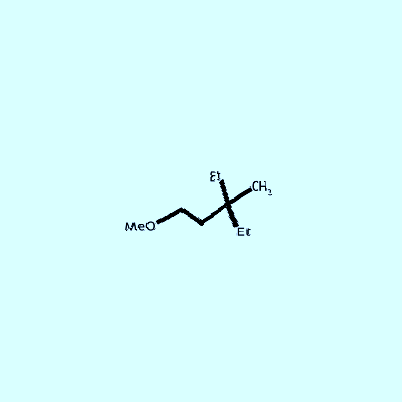 CCC(C)(CC)CCOC